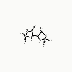 O=S1(=O)OC(F)C(C2OS(=O)(=O)OC2F)O1